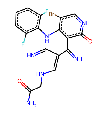 N=C/C(=C\NCC(N)=O)C(=N)c1c(Nc2c(F)cccc2F)c(Br)c[nH]c1=O